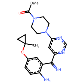 COC(=O)N1CCN(c2cc(C(=N)c3cc(OC4(C)CC4)ccc3N)ncn2)CC1